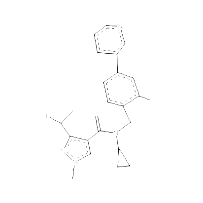 Cn1cc(C(=O)N(Cc2ccc(-c3cccnc3)cc2Cl)C2CC2)c(C(F)F)n1